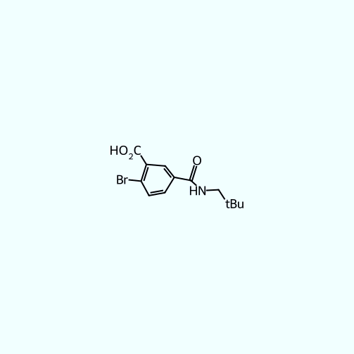 CC(C)(C)CNC(=O)c1ccc(Br)c(C(=O)O)c1